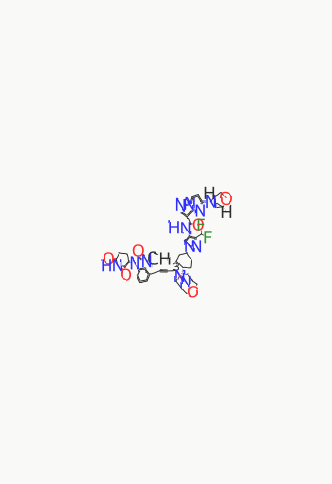 Cn1c(=O)n(C2CCC(=O)NC2=O)c2cccc(C#CCN3CC4COCC(C3)N4C[C@H]3CC[C@H](n4cc(NC(=O)c5cnn6ccc(N7C[C@H]8C[C@@H]7CO8)nc56)c(C(F)F)n4)CC3)c21